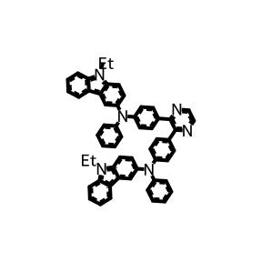 CCn1c2ccccc2c2cc(N(c3ccccc3)c3ccc(-c4nccnc4-c4ccc(N(c5ccccc5)c5ccc6c(c5)c5ccccc5n6CC)cc4)cc3)ccc21